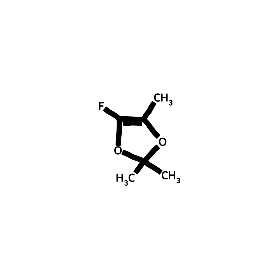 CC1=C(F)OC(C)(C)O1